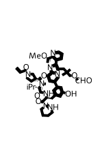 C=CC(=O)N1CC[C@H](C(=O)N(C)[C@H](C(=O)N[C@@H](Cc2cc(O)cc(-c3ccc4nc(-c5cccnc5[C@H](C)OC)c(CC(C)(C)COC=O)n4c3)c2)C(=O)N2CCCCN2)C(C)C)C1